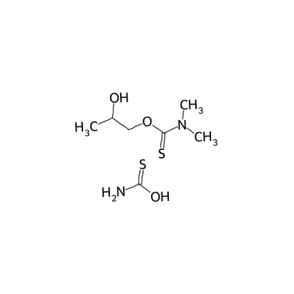 CC(O)COC(=S)N(C)C.NC(O)=S